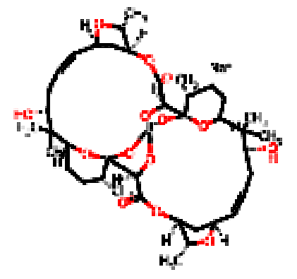 C[C@@H]1CC[C@@H]2O[C@]13O[B-]14O[C@H]3C(=O)O[C@H]3C[C@@H](/C=C\C[C@@H](O)C(C)(C)[C@H]5CC[C@@H](C)[C@](O5)(O1)[C@@H](O4)C(=O)O[C@H]1C[C@@H](/C=C\C[C@@H](O)C2(C)C)O[C@@H]1C)O[C@@H]3C.[Na+]